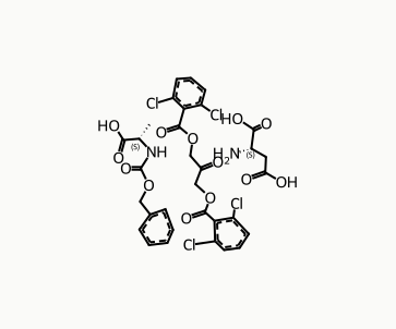 C[C@H](NC(=O)OCc1ccccc1)C(=O)O.N[C@@H](CC(=O)O)C(=O)O.O=C(COC(=O)c1c(Cl)cccc1Cl)COC(=O)c1c(Cl)cccc1Cl